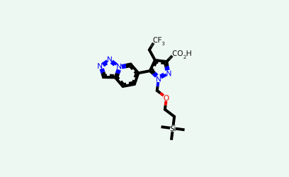 C[Si](C)(C)CCOCn1nc(C(=O)O)c(CC(F)(F)F)c1-c1ccc2cnnn2c1